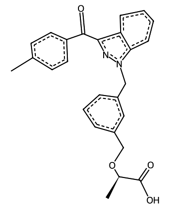 Cc1ccc(C(=O)c2nn(Cc3cccc(CO[C@H](C)C(=O)O)c3)c3ccccc23)cc1